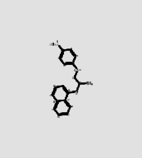 CCOC(=O)c1ccc(NCC(C)Oc2cccc3ccccc23)cc1